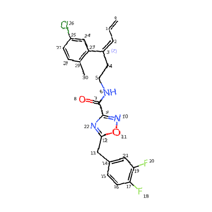 C=C/C=C(/CCNC(=O)c1noc(Cc2ccc(F)c(F)c2)n1)c1cc(Cl)ccc1C